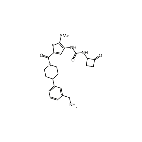 CSc1sc(C(=O)N2CCC(c3cccc(CN)c3)CC2)cc1NC(=O)NC1CCC1=O